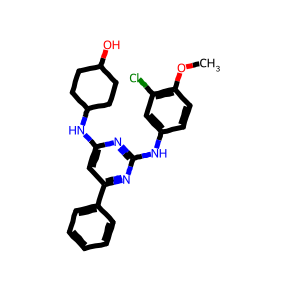 COc1ccc(Nc2nc(NC3CCC(O)CC3)cc(-c3ccccc3)n2)cc1Cl